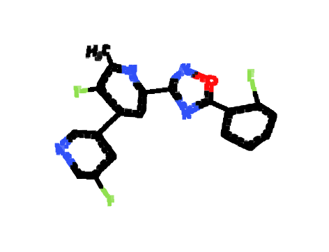 Cc1nc(-c2noc(-c3ccccc3F)n2)cc(-c2cncc(F)c2)c1F